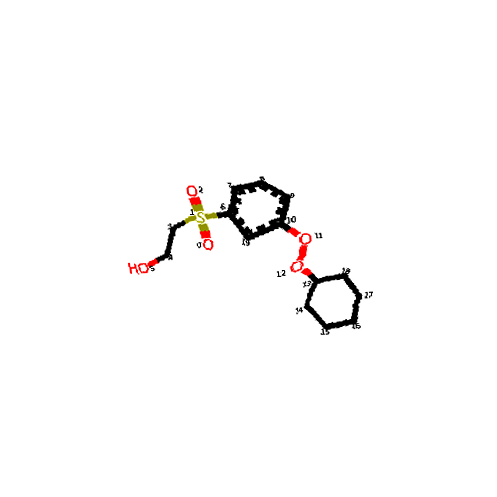 O=S(=O)(CCO)c1cccc(OOC2CCCCC2)c1